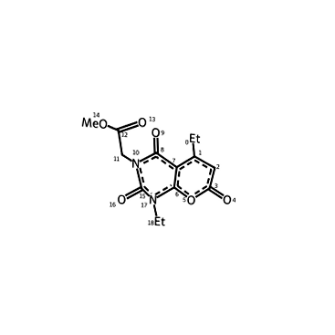 CCc1cc(=O)oc2c1c(=O)n(CC(=O)OC)c(=O)n2CC